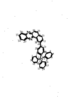 c1ccc([N+](c2ccccc2)(c2ccccc2)c2ccc(-c3ccc4ccc5nc6ccccc6nc5c4c3)cc2)cc1